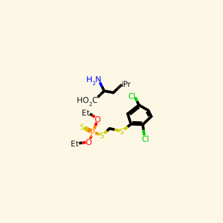 CC(C)CC(N)C(=O)O.CCOP(=S)(OCC)SCSc1cc(Cl)ccc1Cl